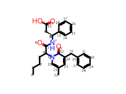 CCCCC(C(=O)N[C@@H](CC(=O)O)c1ccccc1)n1cc(C)cc(Cc2ccccc2)c1=O